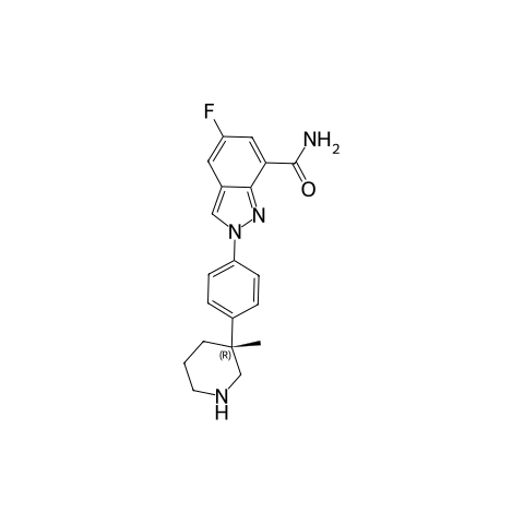 C[C@]1(c2ccc(-n3cc4cc(F)cc(C(N)=O)c4n3)cc2)CCCNC1